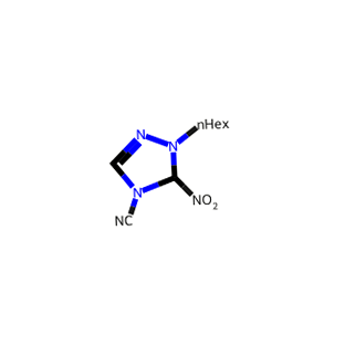 CCCCCCN1N=CN(C#N)C1[N+](=O)[O-]